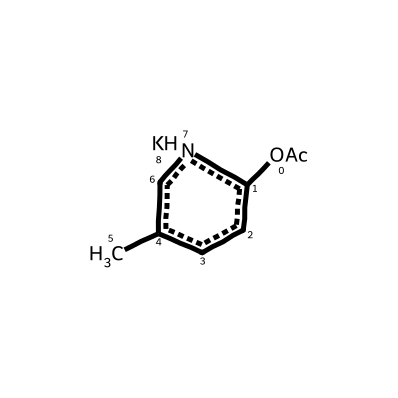 CC(=O)Oc1ccc(C)cn1.[KH]